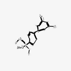 CCO[Si](OC)(OCC)c1ccc(-c2cc(C(F)(F)F)cc(C(F)(F)F)c2)cc1